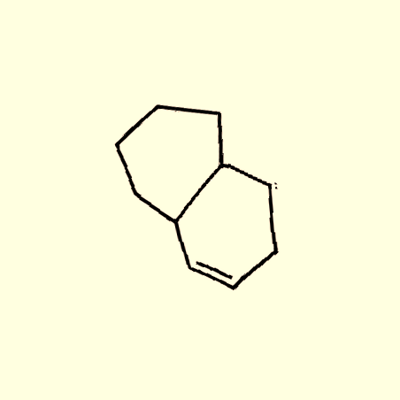 [C]1CC=CC2CCCCC12